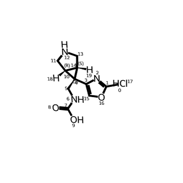 Cc1nc([C@]2(CNC(=O)O)[C@@H]3CNC[C@@H]32)co1.Cl